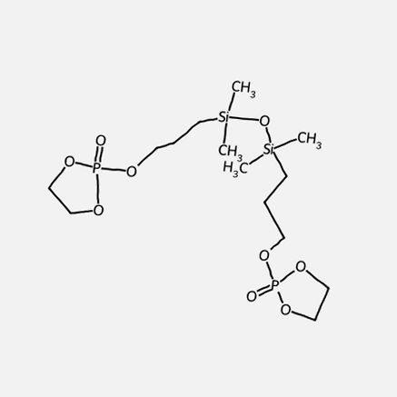 C[Si](C)(CCCOP1(=O)OCCO1)O[Si](C)(C)CCCOP1(=O)OCCO1